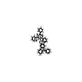 c1ccc(-c2nc(-c3ccccn3)nc(-c3cccc4c3oc3cc5c6ccccc6n(-c6ccccc6)c5cc34)n2)cc1